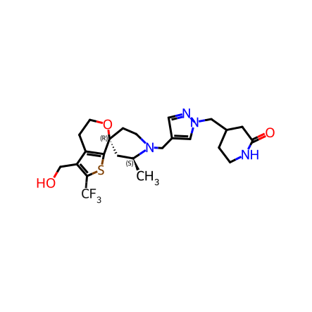 C[C@H]1C[C@@]2(CCN1Cc1cnn(CC3CCNC(=O)C3)c1)OCCc1c2sc(C(F)(F)F)c1CO